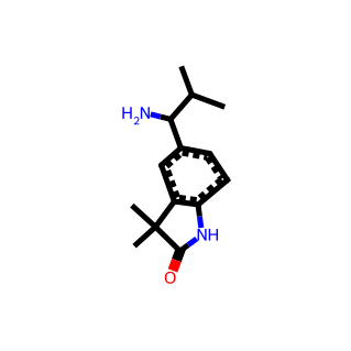 CC(C)C(N)c1ccc2c(c1)C(C)(C)C(=O)N2